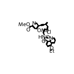 C=C(C#Cc1cnc(C(=O)OC)cc1OC)/C=C(Cl)\C=C/CNS(=O)(=O)c1ccc(OCC)c2cccnc12